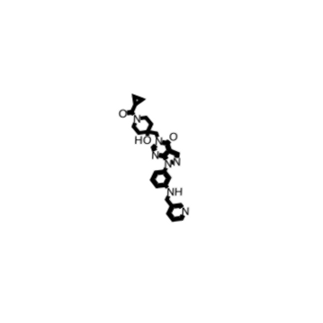 O=C(C1CC1)N1CCC(O)(Cn2cnc3c(cnn3-c3cccc(NCc4cccnc4)c3)c2=O)CC1